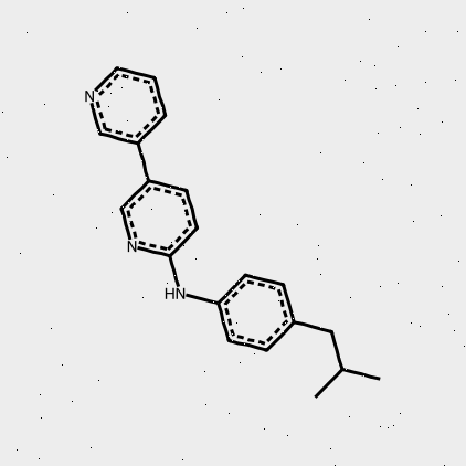 CC(C)Cc1ccc(Nc2ccc(-c3cccnc3)cn2)cc1